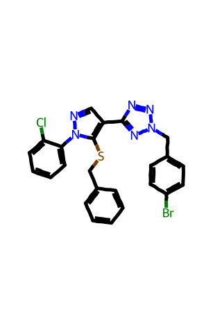 Clc1ccccc1-n1ncc(-c2nnn(Cc3ccc(Br)cc3)n2)c1SCc1ccccc1